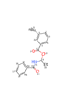 CCCCc1cccc(C(=O)OC(CC)NC(=O)c2ccccc2)c1